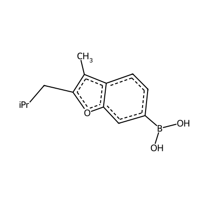 Cc1c(CC(C)C)oc2cc(B(O)O)ccc12